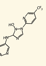 ON1C(Nc2cccnc2)N=CN1c1ccc(C(F)(F)F)cn1